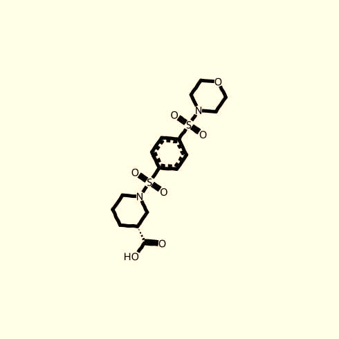 O=C(O)[C@@H]1CCCN(S(=O)(=O)c2ccc(S(=O)(=O)N3CCOCC3)cc2)C1